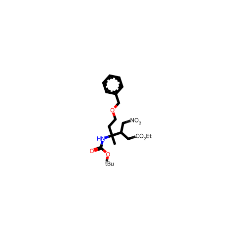 CCOC(=O)CC(C[N+](=O)[O-])C(C)(CCOCc1ccccc1)NC(=O)OC(C)(C)C